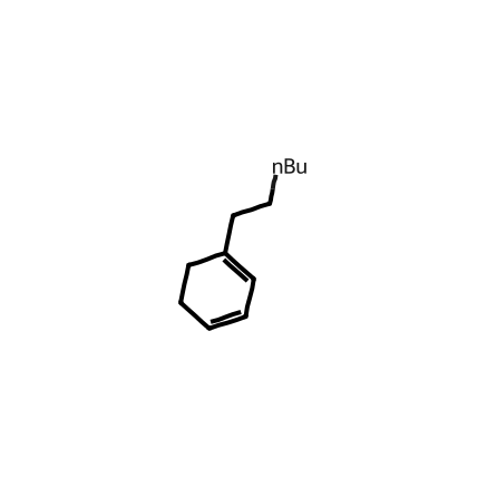 [CH2]CCCCCC1=CC=CCC1